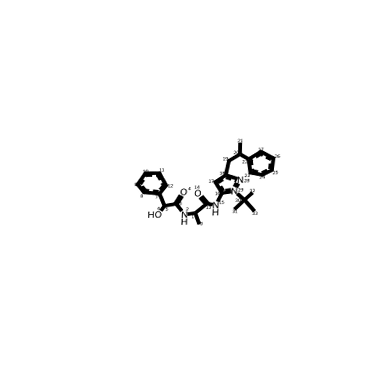 CC(NC(=O)C(O)c1ccccc1)C(=O)Nc1cc(CC(C)c2ccccc2)nn1C(C)(C)C